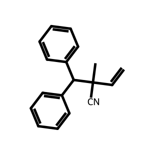 C=CC(C)(C#N)C(c1ccccc1)c1ccccc1